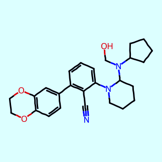 N#Cc1c(-c2ccc3c(c2)OCCO3)cccc1N1CCCCC1N(CO)C1CCCC1